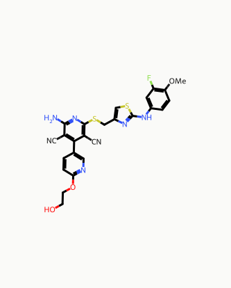 COc1ccc(Nc2nc(CSc3nc(N)c(C#N)c(-c4ccc(OCCO)nc4)c3C#N)cs2)cc1F